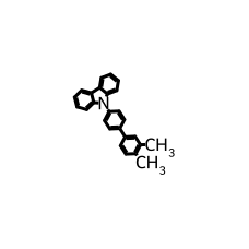 Cc1ccc(-c2ccc(-n3c4ccccc4c4ccccc43)cc2)cc1C